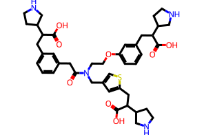 O=C(O)C(Cc1cccc(CC(=O)N(CCOc2cccc(CC(C(=O)O)C3CCNC3)c2)Cc2csc(CC(C(=O)O)C3CCNC3)c2)c1)C1CCNC1